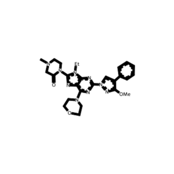 CCn1c(N2CCN(C)CC2=O)nc2c(N3CCOCC3)nc(-n3cc(-c4ccccc4)c(OC)n3)nc21